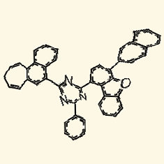 C1=Cc2cc(-c3nc(-c4ccccc4)nc(-c4ccc(-c5ccc6ccccc6c5)c5oc6ccccc6c45)n3)c3ccccc3c2C=CC1